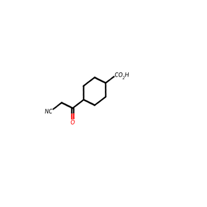 N#CCC(=O)C1CCC(C(=O)O)CC1